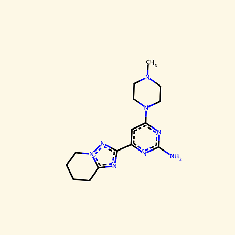 CN1CCN(c2cc(-c3nc4n(n3)CCCC4)nc(N)n2)CC1